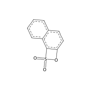 O=S1(=O)Oc2ccc3ccccc3c21